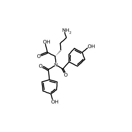 NCCC[C@@H](C(=O)O)N(C(=O)c1ccc(O)cc1)C(=O)c1ccc(O)cc1